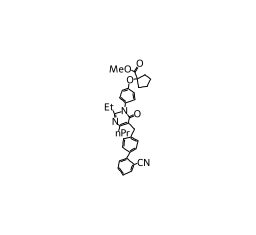 CCCc1nc(CC)n(-c2ccc(OC3(C(=O)OC)CCCC3)cc2)c(=O)c1Cc1ccc(-c2ccccc2C#N)cc1